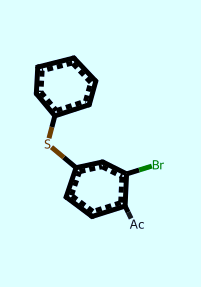 CC(=O)c1ccc(Sc2ccccc2)cc1Br